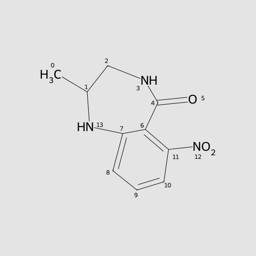 CC1CNC(=O)c2c(cccc2[N+](=O)[O-])N1